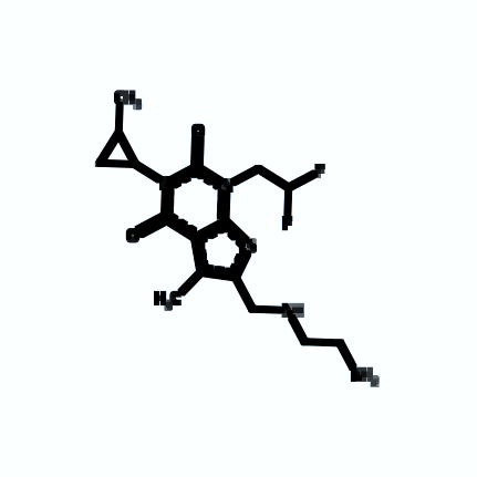 Cc1c(CNCCN)sc2c1c(=O)n(C1CC1C)c(=O)n2CC(F)F